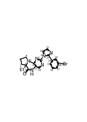 CC[C@@]12CCCN1c1nc(-n3ccnc3-c3cccc(Br)c3)ncc1NC2=O